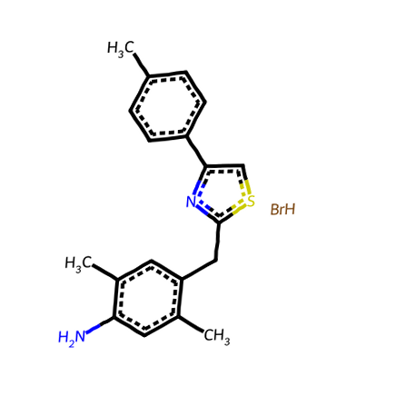 Br.Cc1ccc(-c2csc(Cc3cc(C)c(N)cc3C)n2)cc1